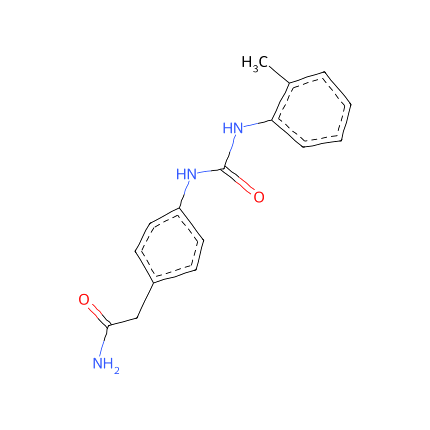 Cc1ccccc1NC(=O)Nc1ccc(CC(N)=O)cc1